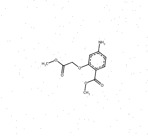 COC(=O)COc1cc(N)ccc1C(=O)OC